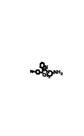 C[C@H](c1ccc(C#N)cc1)n1c(N2CCC[C@@H](N)C2)nc2ccccc21